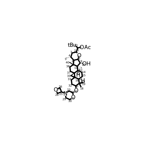 CC(=O)OC(C1C[C@@H](C)C2C(O1)[C@H](O)[C@@]1(C)[C@@H]3CC[C@H]4C(C)(C)C(O[C@H]5CN(C6COC6)CCO5)CCC45C[C@@]35CC[C@]21C)C(C)(C)C